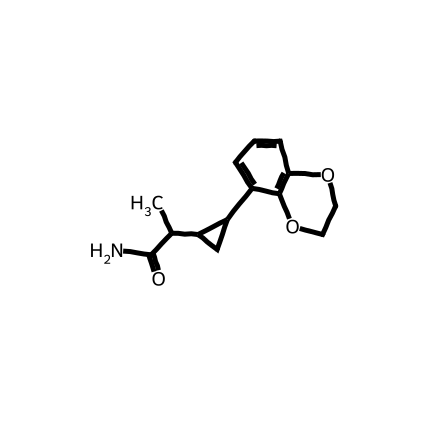 CC(C(N)=O)C1CC1c1cccc2c1OCCO2